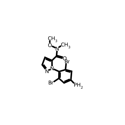 CON(C)C(=O)c1ccnn1-c1c(Br)cc(P)cc1Br